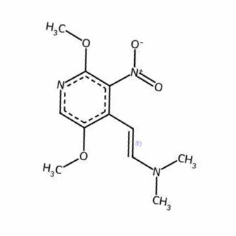 COc1cnc(OC)c([N+](=O)[O-])c1/C=C/N(C)C